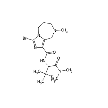 CN1CCCn2c(Br)nc(C(=O)N[C@H](C(=O)N(C)C)C(C)(C)C)c2C1